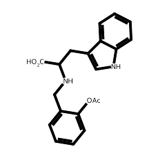 CC(=O)Oc1ccccc1CNC(Cc1c[nH]c2ccccc12)C(=O)O